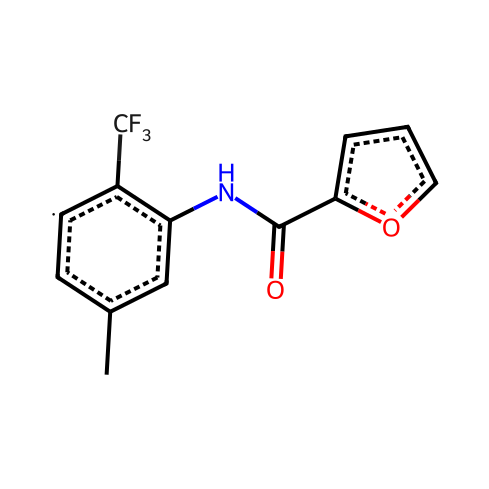 Cc1c[c]c(C(F)(F)F)c(NC(=O)c2ccco2)c1